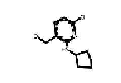 OCc1ccc(Cl)nc1NC1CCCC1